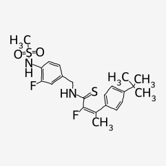 CC(=C(F)C(=S)NCc1ccc(NS(C)(=O)=O)c(F)c1)c1ccc(C(C)(C)C)cc1